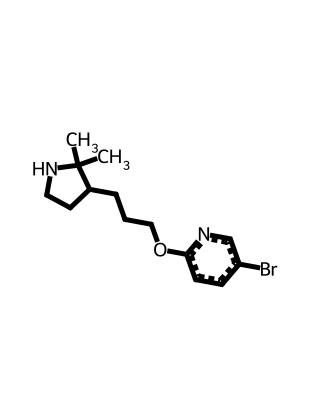 CC1(C)NCCC1CCCOc1ccc(Br)cn1